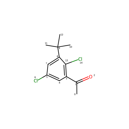 CC(=O)c1cc(Cl)cc(C(C)(C)C)c1Cl